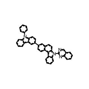 c1ccc(-n2c3ccccc3c3cc(-c4ccc5c(ccc6c5c5ccccc5n6-c5ncc6ccccc6n5)c4)ccc32)cc1